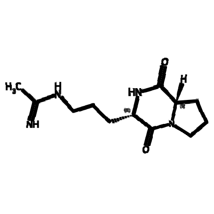 CC(=N)NCCC[C@@H]1NC(=O)[C@@H]2CCCN2C1=O